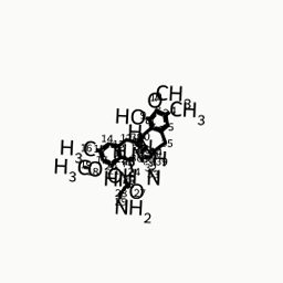 COc1c(C)cc2c(c1O)C1[C@@H]3Cc4cc(C)c(OC)c(O)c4[C@H](CNC(=O)CN)N3[C@@H](C#N)[C@H](C2)N1C